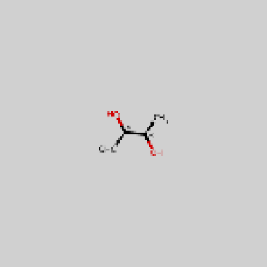 C[C@@H](O)[C@H](O)C=O